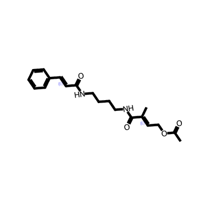 CC(=O)OC/C=C(\C)C(=O)NCCCCNC(=O)/C=C/c1ccccc1